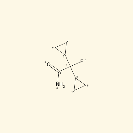 NC(=O)C(F)(C1CC1)C1CC1